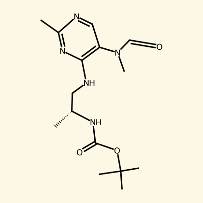 Cc1ncc(N(C)C=O)c(NC[C@@H](C)NC(=O)OC(C)(C)C)n1